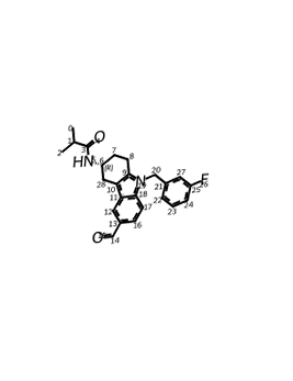 CC(C)C(=O)N[C@@H]1CCc2c(c3cc(C=O)ccc3n2Cc2cccc(F)c2)C1